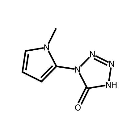 Cn1cccc1-n1nn[nH]c1=O